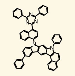 c1ccc(-c2ccc3c(c2)c2cc4c5c6ccccc6ccc5n(-c5ccccc5)c4cc2n3-c2ccc(-c3nc(-c4ccccc4)nc(-c4ccccc4)n3)c3ccccc23)cc1